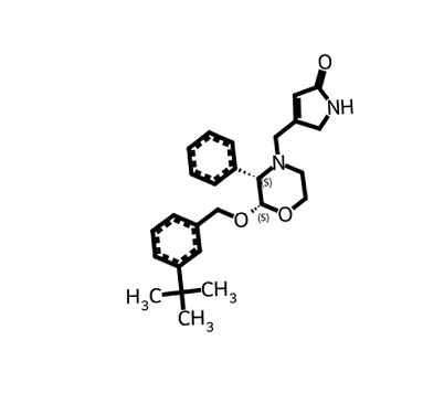 CC(C)(C)c1cccc(CO[C@H]2OCCN(CC3=CC(=O)NC3)[C@H]2c2ccccc2)c1